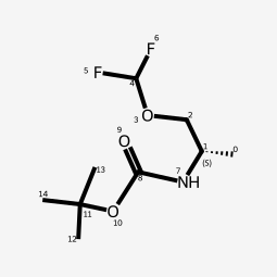 C[C@@H](COC(F)F)NC(=O)OC(C)(C)C